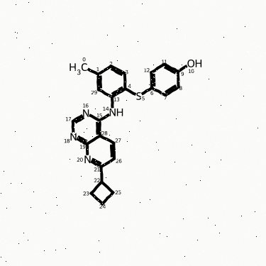 Cc1ccc(Sc2ccc(O)cc2)c(Nc2ncnc3nc(C4CCC4)ccc23)c1